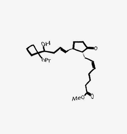 CCCC1(C(O)C/C=C/[C@H]2CCC(=O)[C@@H]2C/C=C\CCCC(=O)OC)CCC1